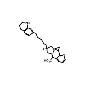 O=C(O)C(c1cccnc1C1CC1)N1CC[C@@](F)(CCCCCc2ccc3c(n2)NCCC3)C1